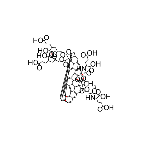 CC(C(=O)OCC(=O)NC(CCC(=O)O)C(=O)O)(C(=O)OCC(=O)NC(CCC(=O)O)C(=O)O)C12CCc3cc4cc5c6c7c8c9c%10c%11c%12c(cc%13ccc1c1c%14c%15c%16c(c3C%152)c4c6c8c%16c%10c%14c%12c%131)C=C1CC2CC7(C=C5)C23C(C(=O)OCC(=O)CC(CCC(=O)O)C(=O)O)(C(=O)OCC(=O)CC(CCC(=O)O)C(=O)O)C93C1%11